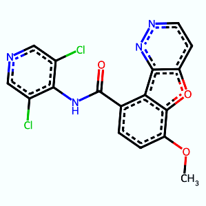 COc1ccc(C(=O)Nc2c(Cl)cncc2Cl)c2c1oc1ccnnc12